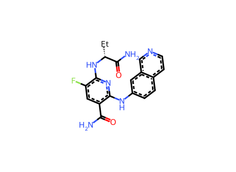 CC[C@@H](Nc1nc(Nc2ccc3ccncc3c2)c(C(N)=O)cc1F)C(N)=O